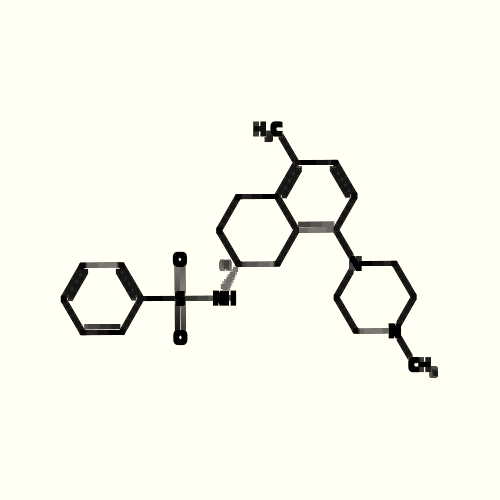 Cc1ccc(N2CCN(C)CC2)c2c1CC[C@@H](NS(=O)(=O)c1ccccc1)C2